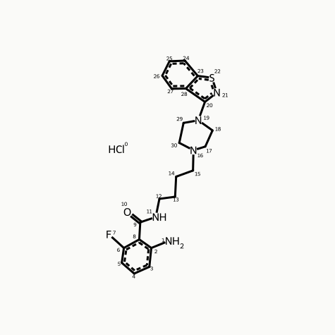 Cl.Nc1cccc(F)c1C(=O)NCCCCN1CCN(c2nsc3ccccc23)CC1